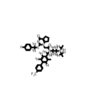 [2H]c1c([2H])c(C([2H])([2H])N(C(=O)Cn2c(SC([2H])([2H])c3ccc(F)cc3)nc(=O)c3c2CCC3)C([2H])([2H])C([2H])([2H])N(C([2H])([2H])C)C([2H])([2H])C)c(C)c([2H])c1-c1ccc(C(F)(F)F)cc1